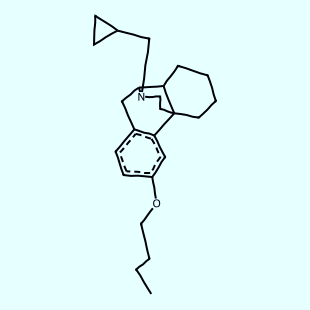 CCCCOc1ccc2c(c1)C13CCCCC1C(C2)N(CC1CC1)CC3